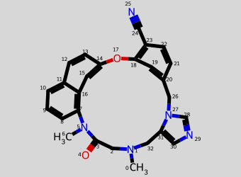 CN1CC(=O)N(C)c2cccc3ccc(cc23)Oc2cc(ccc2C#N)Cn2cncc2C1